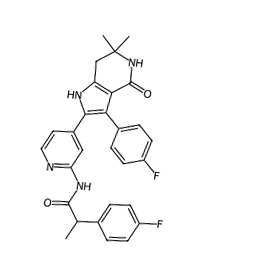 CC(C(=O)Nc1cc(-c2[nH]c3c(c2-c2ccc(F)cc2)C(=O)NC(C)(C)C3)ccn1)c1ccc(F)cc1